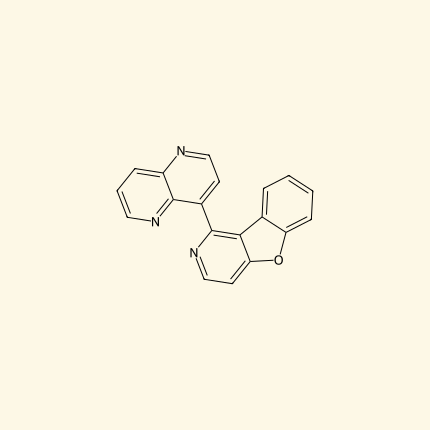 c1cnc2c(-c3nccc4oc5ccccc5c34)ccnc2c1